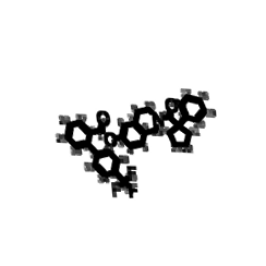 O=C(Oc1ccc2c(c1)CCN(C(=O)C1(c3ccccc3)CCCC1)C2)c1ccccc1-c1ccc(C(F)(F)F)cc1